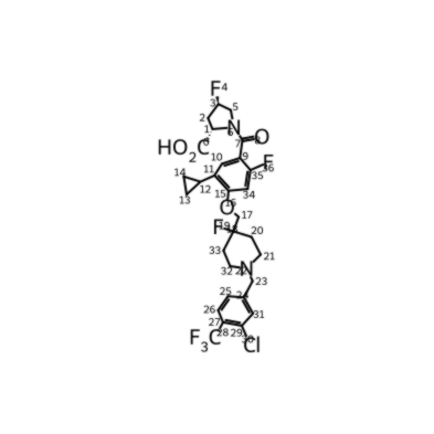 O=C(O)[C@@H]1C[C@@H](F)CN1C(=O)c1cc(C2CC2)c(OCC2(F)CCN(Cc3ccc(C(F)(F)F)c(Cl)c3)CC2)cc1F